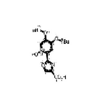 CCCCOc1cc(-c2nc(C(=O)O)co2)[n+]([O-])cc1OCCCC